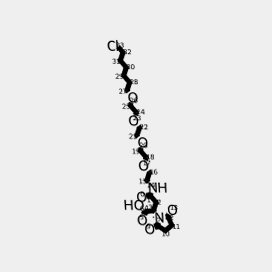 O=C(CC(C(=O)O)[N+]1C(=O)CCC1=O)NCCOCCOCCOCCOCCCCCCCl